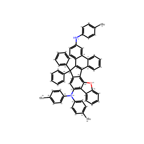 CC(C)(C)c1ccc(Nc2ccc3c4c(c5ccccc5c3c2)-c2c(cc(N(c3ccc(C(C)(C)C)cc3)c3ccc(C(C)(C)C)cc3)c3c2oc2ccccc23)C4(c2ccccc2)c2ccccc2)cc1